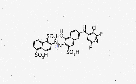 O=S(=O)(O)c1cc2cc(Nc3cc(F)nc(F)c3Cl)ccc2c(O)c1/N=N/c1ccc2c(S(=O)(=O)O)cccc2c1S(=O)(=O)O